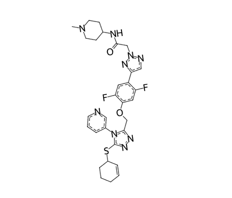 CN1CCC(NC(=O)Cn2ncc(-c3cc(F)c(OCc4nnc(SC5C=CCCC5)n4-c4cccnc4)cc3F)n2)CC1